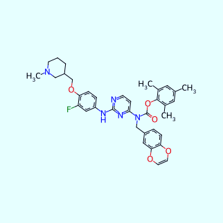 Cc1cc(C)c(OC(=O)N(Cc2ccc3c(c2)OC=CO3)c2ccnc(Nc3ccc(OCC4CCCN(C)C4)c(F)c3)n2)c(C)c1